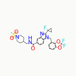 CS(=O)(=O)N1CCC(CNC(=O)c2ccc3c(c2)nc(C2(F)CC2)n3Cc2cccc3c2OC(F)(F)O3)CC1